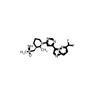 C[C@H]1[C@@H](CS(C)(=N)=O)CCCN1c1cc(-c2cnc3ccc(C(F)F)nn23)ncn1